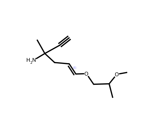 C#CC(C)(N)C/C=C/OCC(C)OC